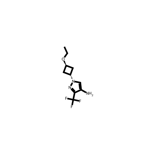 CCO[C@H]1C[C@H](n2cc(N)c(C(F)(F)F)n2)C1